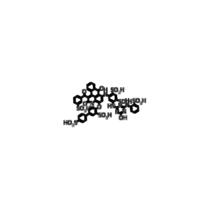 O=C(c1cccc(S(=O)(=O)O)c1)c1c2c3c(c(Nc4cc(Nc5nc(O)nc(Nc6ccccc6S(=O)(=O)O)n5)c(S(=O)(=O)O)cc4S(=O)(=O)O)cc(Oc4ccc(-c5ccc(S(=O)(=O)O)cc5)cc4S(=O)(=O)O)c3[nH]c1=O)C(=O)c1ccccc1-2